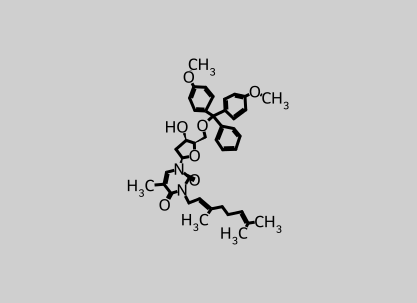 COc1ccc(C(OC[C@H]2O[C@@H](n3cc(C)c(=O)n(C/C=C(\C)CCC=C(C)C)c3=O)C[C@H]2O)(c2ccccc2)c2ccc(OC)cc2)cc1